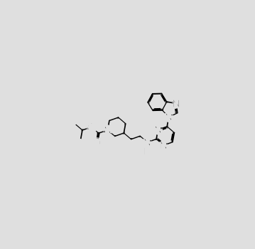 CC(C)OC(=O)N1CCCC(CCNc2nccc(-n3cnc4ccccc43)n2)C1